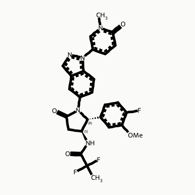 COc1cc([C@@H]2[C@@H](NC(=O)C(C)(F)F)CC(=O)N2c2ccc3c(cnn3-c3ccc(=O)n(C)c3)c2)ccc1F